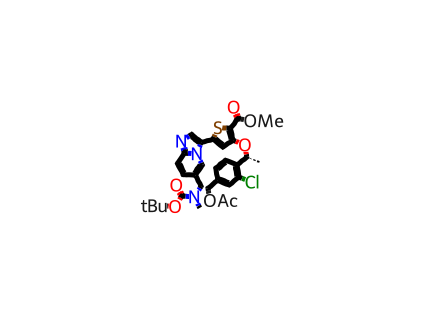 COC(=O)c1sc(-c2cnc3ccc(CN(C)C(=O)OC(C)(C)C)cn23)cc1O[C@H](C)c1ccc(COC(C)=O)cc1Cl